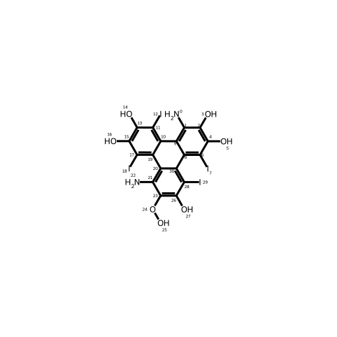 Nc1c(O)c(O)c(I)c2c1c1c(I)c(O)c(O)c(I)c1c1c(N)c(OO)c(O)c(I)c12